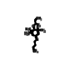 CCCCN=C1CC(C)(C)N(OCCC)C(C)(C)C1